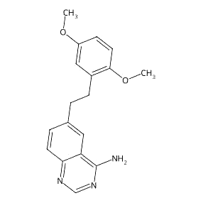 COc1ccc(OC)c(CCc2ccc3ncnc(N)c3c2)c1